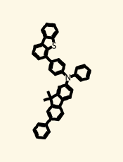 CC1(C)c2cc(-c3ccccc3)ccc2-c2ccc(N(c3ccccc3)c3ccc(-c4cccc5c4sc4ccccc45)cc3)cc21